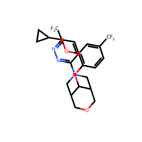 FC(F)(F)c1ccc(OC2C3COCC2CN(c2ccc(C(F)(F)F)nn2)C3)c(OCC2CC2)c1